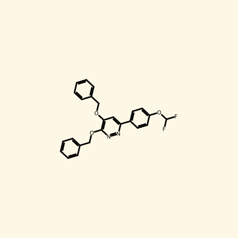 FC(F)Oc1ccc(-c2cc(OCc3ccccc3)c(OCc3ccccc3)nn2)cc1